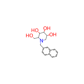 OCC1[C@@H](O)[C@@H](O)[C@@H](O)CN1Cc1ccc2ccccc2c1